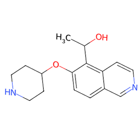 CC(O)c1c(OC2CCNCC2)ccc2cnccc12